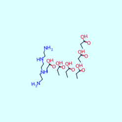 CCC(=O)O.CCC(=O)O.CCC(=O)O.CCC(=O)O.CCC(=O)O.CCC(=O)O.NCCNCCNCCN